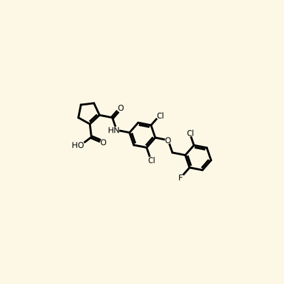 O=C(O)C1=C(C(=O)Nc2cc(Cl)c(OCc3c(F)cccc3Cl)c(Cl)c2)CCC1